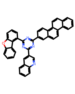 c1ccc2ncc(-c3nc(-c4ccc5c(ccc6c7ccccc7ccc56)c4)nc(-c4cccc5oc6ccccc6c45)n3)cc2c1